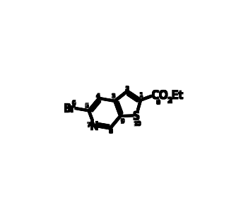 CCOC(=O)c1cc2cc(Br)ncc2s1